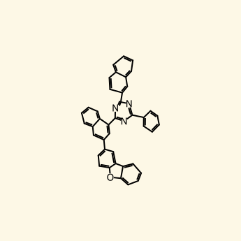 c1ccc(-c2nc(-c3ccc4ccccc4c3)nc(-c3cc(-c4ccc5oc6ccccc6c5c4)cc4ccccc34)n2)cc1